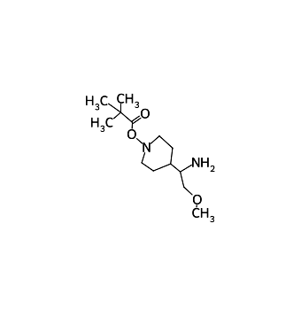 COCC(N)C1CCN(OC(=O)C(C)(C)C)CC1